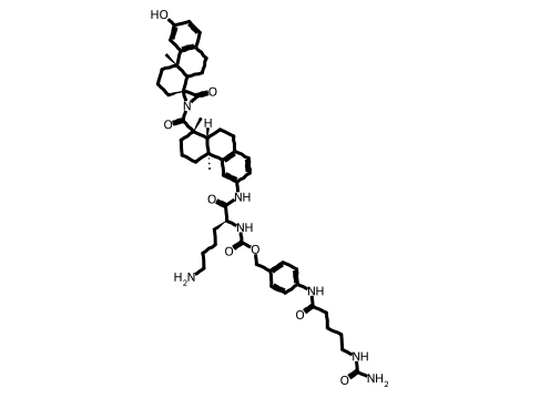 C[C@]12CCC[C@]3(C(=O)N3C(=O)[C@@]3(C)CCC[C@]4(C)c5cc(NC(=O)[C@H](CCCCN)NC(=O)OCc6ccc(NC(=O)CCCCNC(N)=O)cc6)ccc5CC[C@@H]34)C1CCc1ccc(O)cc12